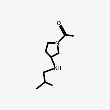 CC(=O)N1CCC(NCC(C)C)C1